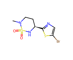 CN1CC[C@@H](c2ncc(Br)s2)NS1(=O)=O